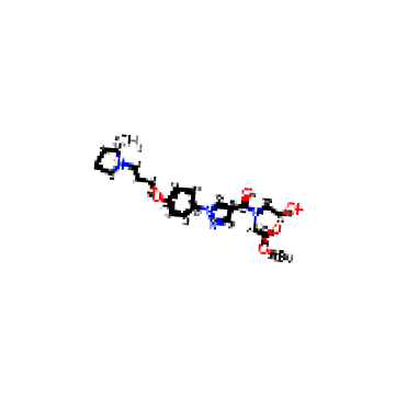 C[C@@H]1CCCN1CCCOc1ccc(-n2cc(C(=O)N(CCO)CC(=O)OC(C)(C)C)cn2)cc1